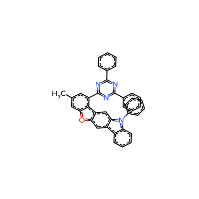 Cc1cc(-c2nc(-c3ccccc3)nc(-c3ccccc3)n2)c2c(c1)oc1cc3c4ccccc4n(-c4ccccc4)c3cc12